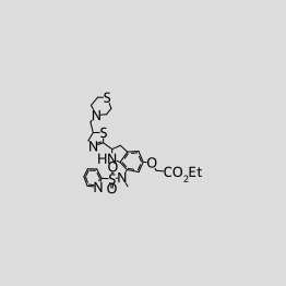 CCOC(=O)COc1cc2c(c(N(C)S(=O)(=O)c3ccccn3)c1)NC(C1=NCC(CN3CCSCC3)S1)C2